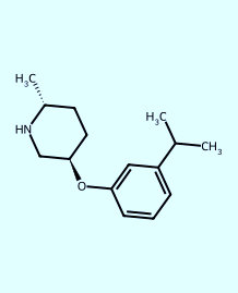 CC(C)c1cccc(O[C@@H]2CC[C@@H](C)NC2)c1